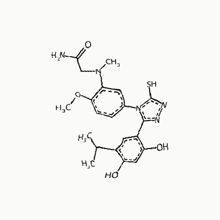 COc1ccc(-n2c(S)nnc2-c2cc(C(C)C)c(O)cc2O)cc1N(C)CC(N)=O